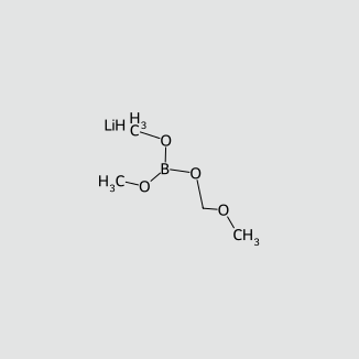 COCOB(OC)OC.[LiH]